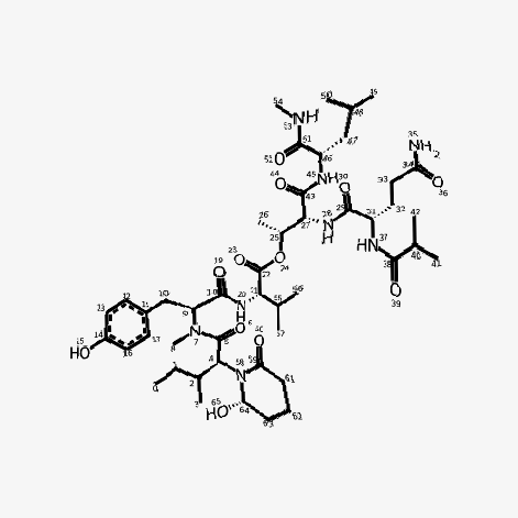 CCC(C)[C@@H](C(=O)N(C)[C@@H](Cc1ccc(O)cc1)C(=O)N[C@H](C(=O)O[C@H](C)[C@@H](NC(=O)[C@H](CCC(N)=O)NC(=O)C(C)C)C(=O)N[C@@H](CC(C)C)C(=O)NC)C(C)C)N1C(=O)CCC[C@@H]1O